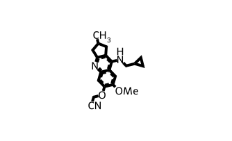 COc1cc2c(NCC3CC3)c3c(nc2cc1OCC#N)CC(C)C3